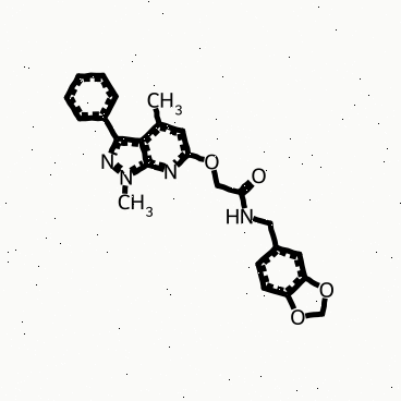 Cc1cc(OCC(=O)NCc2ccc3c(c2)OCO3)nc2c1c(-c1ccccc1)nn2C